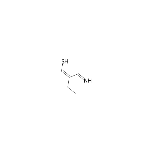 CC/C(C=N)=C/S